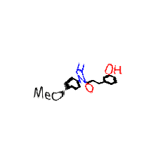 COc1ccc(NC(=O)CCc2cccc(O)c2)cc1